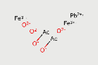 CC(=O)[O-].CC(=O)[O-].[Fe+3].[Fe+3].[O-2].[O-2].[O-2].[Pb+2]